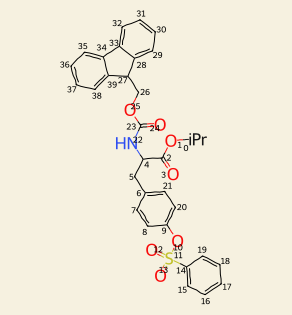 CC(C)OC(=O)C(Cc1ccc(OS(=O)(=O)c2ccccc2)cc1)NC(=O)OCC1c2ccccc2-c2ccccc21